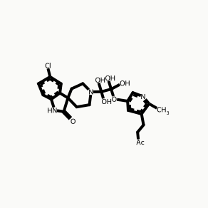 CC(=O)CCc1cc(OC(O)(O)C(O)(O)N2CCC3(CC2)C(=O)Nc2ccc(Cl)cc23)cnc1C